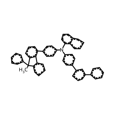 CC1(c2ccccc2)c2ccccc2-c2c(-c3ccc(N(c4ccc(-c5cccc(-c6ccccc6)c5)cc4)c4cccc5ccccc45)cc3)cccc21